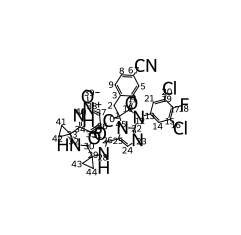 C[C@@]1(Cc2ccc(C#N)cc2)C(=O)N(c2cc(Cl)c(F)c(Cl)c2)c2ncc(C(=O)NC3(C(=O)NC4(c5ccc[n+]([O-])n5)CC4)CC3)n21